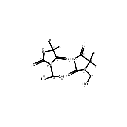 CC1(C)C(=O)NC(=O)N1CO.CC1(C)NC(=O)N(C(O)O)C1=O